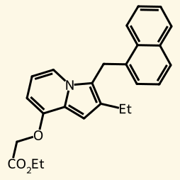 CCOC(=O)COc1cccn2c(Cc3cccc4ccccc34)c(CC)cc12